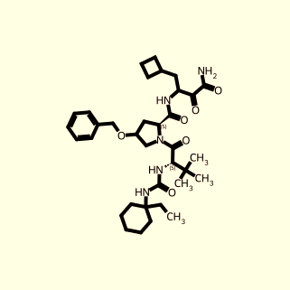 CCC1(NC(=O)N[C@H](C(=O)N2CC(OCc3ccccc3)C[C@H]2C(=O)NC(CC2CCC2)C(=O)C(N)=O)C(C)(C)C)CCCCC1